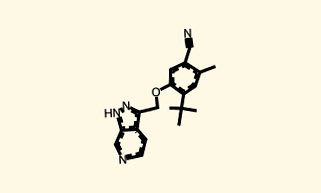 Cc1cc(C(C)(C)C)c(OCc2n[nH]c3cnccc23)cc1C#N